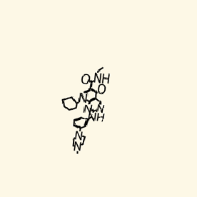 CCNC(=O)c1cn(C2CCCCC2)c2nc(Nc3cccc(N4CCN(C)CC4)c3)ncc2c1=O